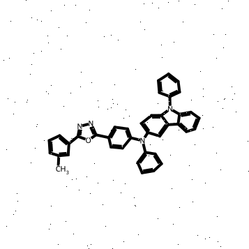 Cc1cccc(-c2nnc(-c3ccc(N(c4ccccc4)c4ccc5c(c4)c4ccccc4n5-c4ccccc4)cc3)o2)c1